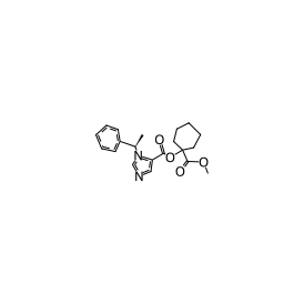 COC(=O)C1(OC(=O)c2cncn2[C@H](C)c2ccccc2)CCCCC1